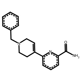 NC(=O)c1cccc(C2=CCN(Cc3ccccc3)CC2)n1